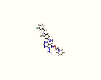 Nc1ncnc(Nc2ccc3c(ccn3Cc3cccc(F)c3)c2)c1C=NOCCN1CCCCC1